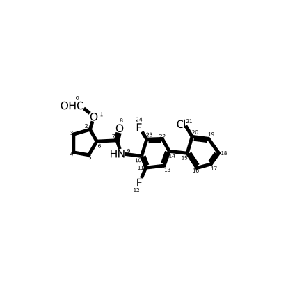 O=COC1CCCC1C(=O)Nc1c(F)cc(-c2ccccc2Cl)cc1F